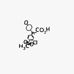 CS(=O)(=O)c1ccc([C@H](CC(=O)O)C2CCC(=O)CC2)cc1Cl